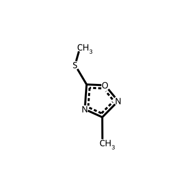 CSc1nc(C)no1